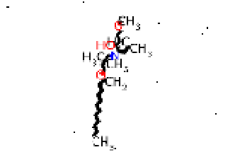 C=C(CCCCCCCCCCCC)OCCC(C)(C)/C=N/C(CC(C)C)C(O)CCCOC